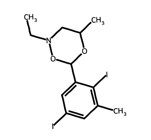 CCN1CC(C)OC(c2cc(I)cc(C)c2I)O1